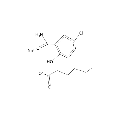 CCCCCC(=O)[O-].NC(=O)c1cc(Cl)ccc1O.[Na+]